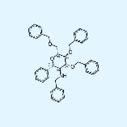 c1ccc(CN[C@@H]2[C@@H](OCc3ccccc3)[C@H](OCc3ccccc3)[C@@H](COCc3ccccc3)O[P@@]2c2ccccc2)cc1